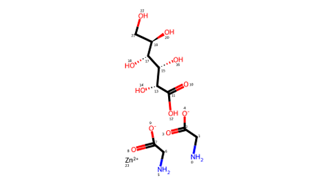 NCC(=O)[O-].NCC(=O)[O-].O=C(O)[C@H](O)[C@@H](O)[C@H](O)[C@H](O)CO.[Zn+2]